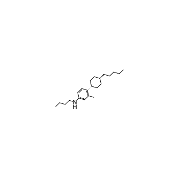 CCCCC[C@H]1CC[C@H](c2ccc(NCCCC)cc2C)CC1